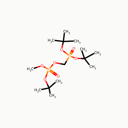 COP(=O)(OCP(=O)(OC(C)(C)C)OC(C)(C)C)OC(C)(C)C